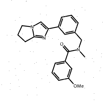 COc1cccc(C(=O)N(C)Cc2cccc(-c3cn4c(n3)CCC4)c2)c1